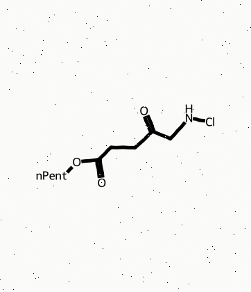 CCCCCOC(=O)CCC(=O)CNCl